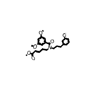 COC(=O)CCCCN(CCCc1cccc(Cl)c1)C(=O)c1cc(OC)cc(OC)c1